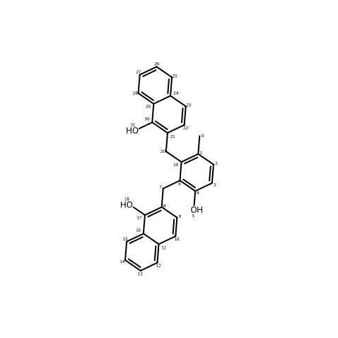 Cc1ccc(O)c(Cc2ccc3ccccc3c2O)c1Cc1ccc2ccccc2c1O